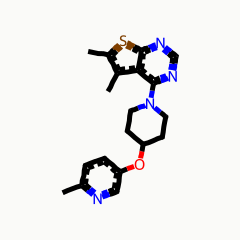 Cc1ccc(OC2CCN(c3ncnc4sc(C)c(C)c34)CC2)cn1